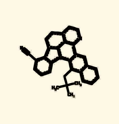 CC(C)(C)Cc1c2ccccc2cc2c3nccc4ccc5c6c(C#N)cccc6n(c12)c5c43